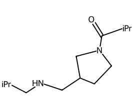 CC(C)CNCC1CCN(C(=O)C(C)C)C1